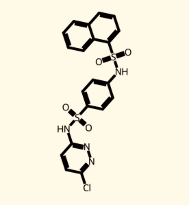 O=S(=O)(Nc1ccc(Cl)nn1)c1ccc(NS(=O)(=O)c2cccc3ccccc23)cc1